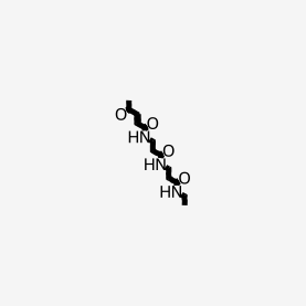 CCNC(=O)CCNC(=O)CCNC(=O)/C=C/C(C)=O